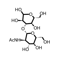 CC(=O)N[C@H]1[C@H](O[C@H]2[C@H](O)[C@@H](CO)OC(O)[C@@H]2O)O[C@H](CO)[C@@H](O)[C@@H]1O